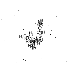 CC[C@H](Nc1nc(NCc2cnc(C)cc2C)c2ncn(C(C)C)c2n1)[C@@H](C)NC(=O)c1ccc(NC(=O)c2ccc(S(=O)(=O)n3cncn3)cc2)cc1